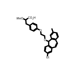 CCc1ccc2c(c1)C=Cc1ccc(C)cc1C2OCCOc1ccc(CC(OC)C(=O)O)cc1